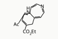 CCOC(=O)C1=CC2C(C(C)=O)CNC23C=CN=CC=C3C1